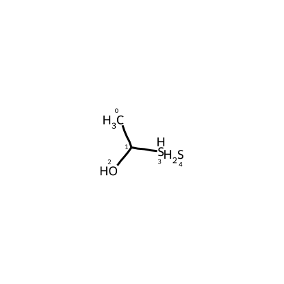 CC(O)S.S